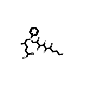 CCCC(CC)CCC(C)CP(CC(F)C(F)C(F)C(F)C(F)CCCF)c1ccccc1